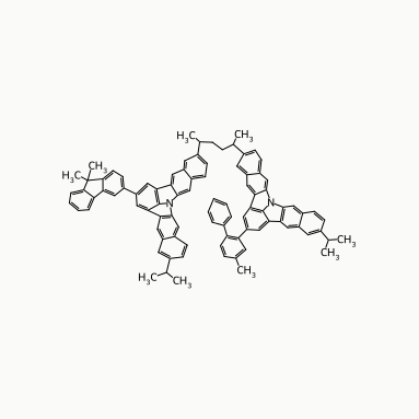 Cc1ccc(-c2ccccc2)c(-c2cc3c4cc5cc(C(C)C)ccc5cc4n4c5cc6ccc(C(C)CCC(C)c7ccc8cc9c(cc8c7)c7cc(-c8ccc%10c(c8)-c8ccccc8C%10(C)C)cc8c%10cc%11cc(C(C)C)ccc%11cc%10n9c87)cc6cc5c(c2)c34)c1